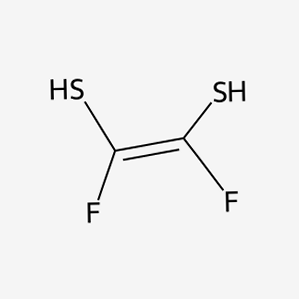 F/C(S)=C(\F)S